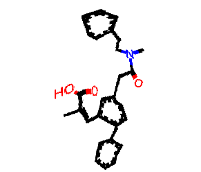 CC(=Cc1cc(CC(=O)N(C)CCc2ccccc2)ccc1-c1ccccc1)C(=O)O